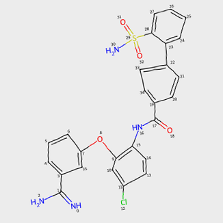 N=C(N)c1cccc(Oc2cc(Cl)ccc2NC(=O)c2ccc(-c3ccccc3S(N)(=O)=O)cc2)c1